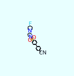 N#Cc1ccc(-c2ccc(S(=O)(=O)N3CCC(N4CCC(F)CC4)C3)cc2)cc1